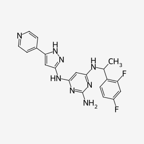 CC(Nc1cc(Nc2cc(-c3ccncc3)[nH]n2)nc(N)n1)c1ccc(F)cc1F